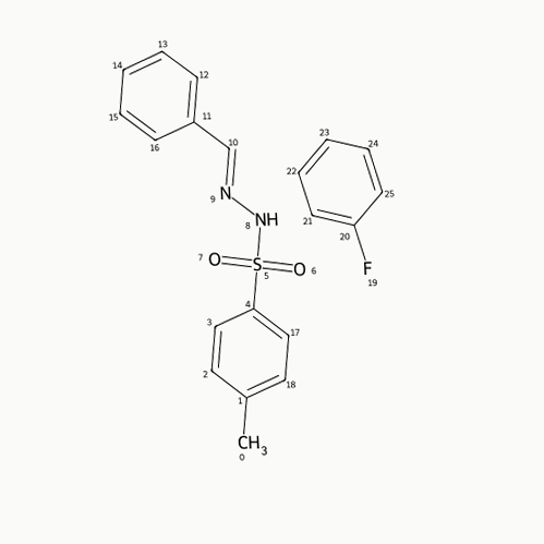 Cc1ccc(S(=O)(=O)NN=Cc2ccccc2)cc1.Fc1ccccc1